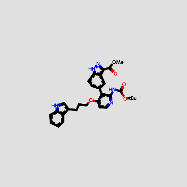 COC(=O)c1n[nH]c2ccc(-c3c(OCCCc4c[nH]c5ccccc45)ccnc3NC(=O)OC(C)(C)C)cc12